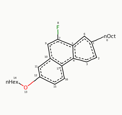 CCCCCCCCc1ccc2c(c1)c(F)cc1cc(OCCCCCC)ccc12